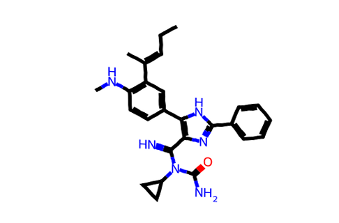 CC/C=C(\C)c1cc(-c2[nH]c(-c3ccccc3)nc2C(=N)N(C(N)=O)C2CC2)ccc1NC